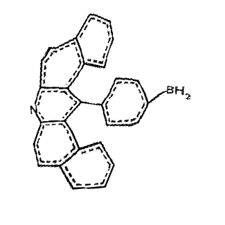 Bc1ccc(-c2c3c(ccc4ccccc43)nc3ccc4ccccc4c23)cc1